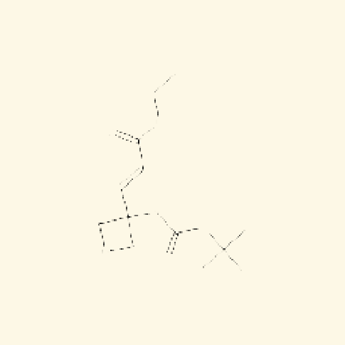 CCOC(=O)C=CC1(NC(=O)OC(C)(C)C)COC1